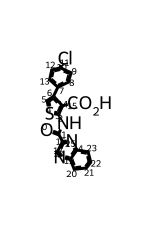 O=C(Nc1scc(-c2ccc(Cl)cc2)c1C(=O)O)c1cnc2ccccc2n1